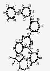 CC1(C)c2ccccc2-c2c1ccc1nc(-c3cccc(-c4cccc(-c5ccccc5)c4)c3)nc(-c3ccccc3)c21